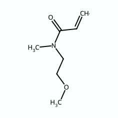 [CH]=CC(=O)N(C)CCOC